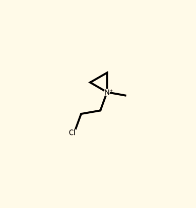 C[N+]1(CCCl)CC1